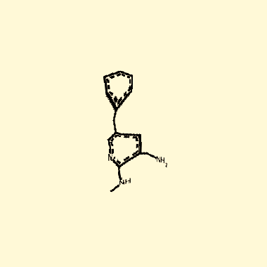 CNc1ncc(-c2ccccc2)cc1N